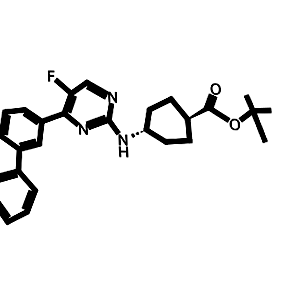 CC(C)(C)OC(=O)[C@H]1CC[C@H](Nc2ncc(F)c(-c3cccc(-c4ccccc4)c3)n2)CC1